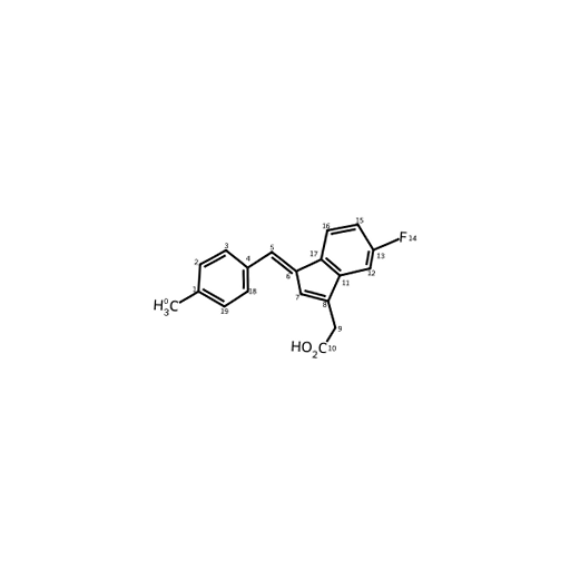 Cc1ccc(/C=C2\C=C(CC(=O)O)c3cc(F)ccc32)cc1